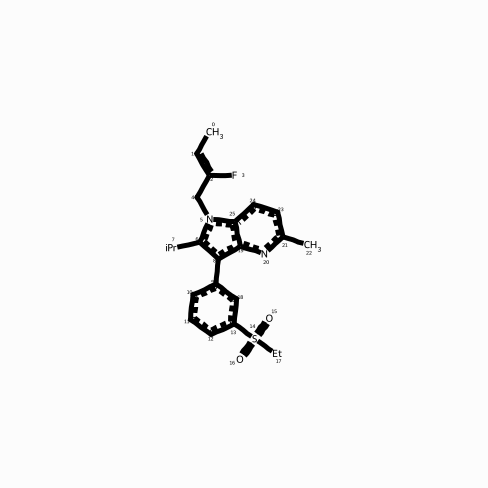 C/C=C(\F)Cn1c(C(C)C)c(-c2cccc(S(=O)(=O)CC)c2)c2nc(C)ccc21